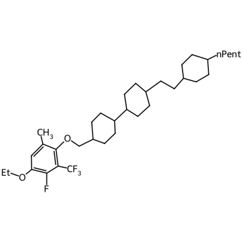 CCCCCC1CCC(CCC2CCC(C3CCC(COc4c(C)cc(OCC)c(F)c4C(F)(F)F)CC3)CC2)CC1